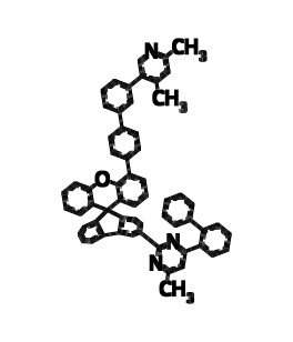 Cc1cc(C)c(-c2cccc(-c3ccc(-c4cccc5c4Oc4ccccc4C54c5ccccc5-c5cc(-c6nc(C)cc(-c7ccccc7-c7ccccc7)n6)ccc54)cc3)c2)cn1